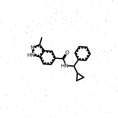 Cc1n[nH]c2ccc(C(=O)NC(c3ccccc3)C3CC3)cc12